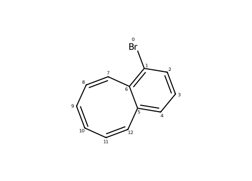 Brc1cccc2c1C=CC=CC=C2